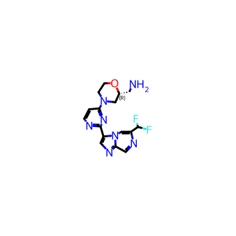 NC[C@@H]1CN(c2ccnc(-c3cnc4cnc(C(F)F)cn34)n2)CCO1